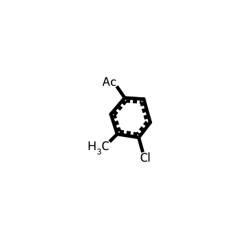 CC(=O)c1ccc(Cl)c(C)c1